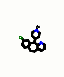 CC(=O)N1CCC(=C2c3cc(Cl)ccc3CCc3cccnc32)CC1